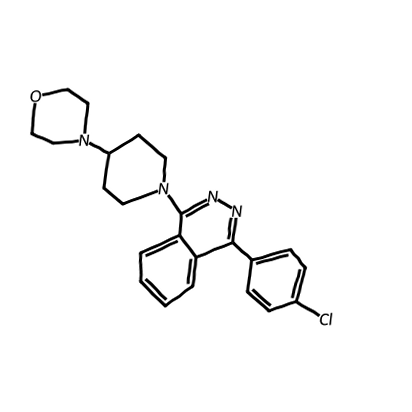 Clc1ccc(-c2nnc(N3CCC(N4CCOCC4)CC3)c3ccccc23)cc1